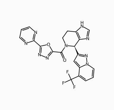 O=C(c1nnc(-c2ncccn2)o1)N1CCc2[nH]cnc2[C@H]1c1cc2c(C(F)(F)F)cccn2n1